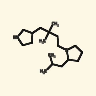 CC(C)CC1CCCN1CCC(C)(C)CC1CCNC1